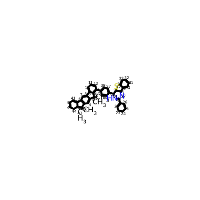 CC1(C)c2cc3c(cc2-c2cccc(-c4ccc(C5NC(C6=CCCC=C6)=NC6c7ccccc7SC65)cc4)c21)C1=CC=CCC1C3(C)C